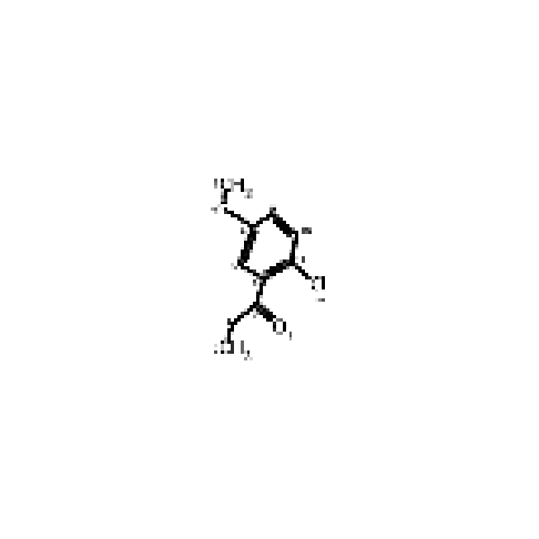 CCC(=O)c1cc(SC)ccc1Cl